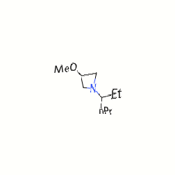 CCCC(CC)N1CC(OC)C1